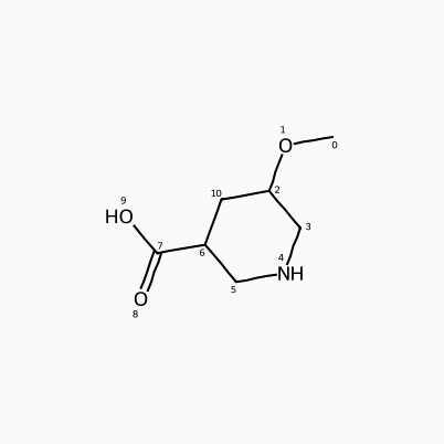 COC1CNCC(C(=O)O)C1